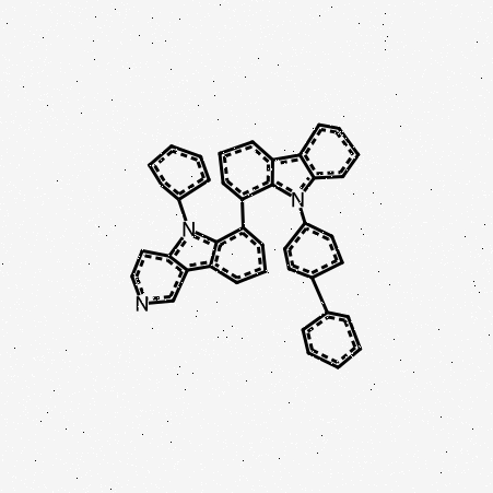 c1ccc(-c2ccc(-n3c4ccccc4c4cccc(-c5cccc6c7cnccc7n(-c7ccccc7)c56)c43)cc2)cc1